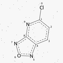 Clc1ccc2nonc2n1